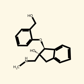 CNC[C@]1(O)Cc2ccccc2[C@@H]1Oc1ccccc1CO